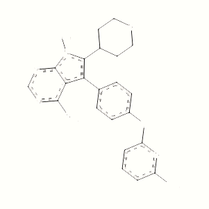 Cc1cccc(Oc2ccc(-c3c(C4CCNCC4)n(C)c4ncnc(N)c34)cc2)n1